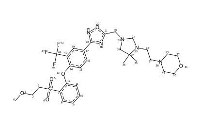 COCCS(=O)(=O)c1ccccc1Oc1ccc(-c2noc(CN3CN(CCN4CCOCC4)C(C)(C)C3)n2)cc1C(F)(F)F